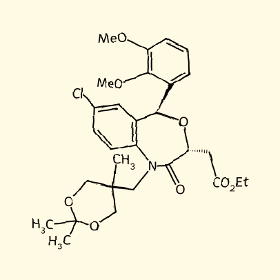 CCOC(=O)C[C@H]1O[C@H](c2cccc(OC)c2OC)c2cc(Cl)ccc2N(CC2(C)COC(C)(C)OC2)C1=O